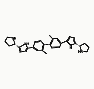 Cc1cc(-c2cnc([C@@H]3CCCN3)[nH]2)ccc1-c1ccc(-c2cnc([C@@H]3CCCN3)[nH]2)cc1C